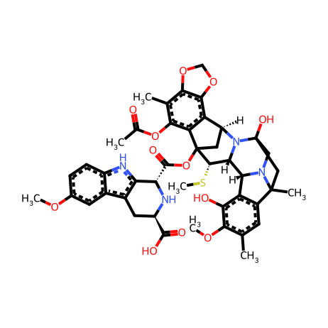 COc1ccc2[nH]c3c(c2c1)C[C@H](C(=O)O)N[C@H]3C(=O)OC12C[C@@H](c3c4c(c(C)c(OC(C)=O)c31)OCO4)N1[C@H]([C@H]3c4c(cc(C)c(OC)c4O)C4(C)CC1(O)CN34)[C@@H]2SC